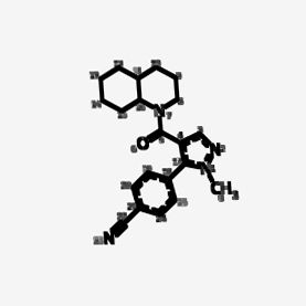 Cn1ncc(C(=O)N2CCCC3CCCCC32)c1-c1ccc(C#N)cc1